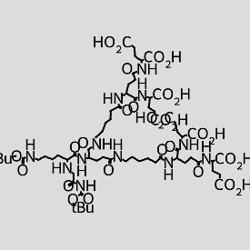 CC(C)(C)OC(=O)NCCCCC(NCC(=O)NC(=O)OC(C)(C)C)C(=O)NC(CCC(=O)NCCCCCC(=O)NC(CCC(=O)NC(CCC(=O)O)C(=O)O)C(=O)NC(CCC(=O)O)C(=O)O)C(=O)NCCCCCC(=O)NC(CCC(=O)NC(CCC(=O)O)C(=O)O)C(=O)NC(CCC(=O)O)C(=O)O